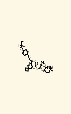 CC1(C)CC[C@@H](C[C@@H](C#N)NC(=O)[C@@H]2CC3(CCC3)CN2C(=O)COc2ccc(OC(F)(F)F)cc2)C(=O)N1